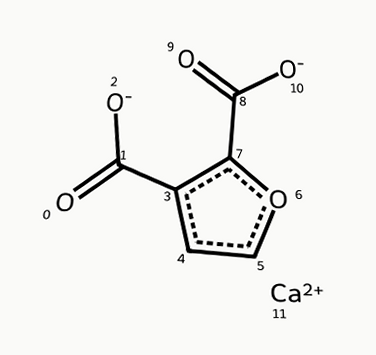 O=C([O-])c1ccoc1C(=O)[O-].[Ca+2]